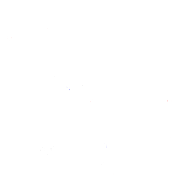 O=C(O)C1OC(=O)N(c2ccc3c(c2)OCCO3)C1C1CN(c2ccc3c(c2)OCCO3)C(=O)O1